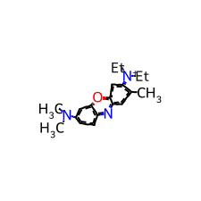 CC[N+](CC)=c1cc2oc3cc(N(C)C)ccc3nc-2cc1C